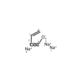 C=CC(=O)[O-].O=C([O-])[O-].[Na+].[Na+].[Na+]